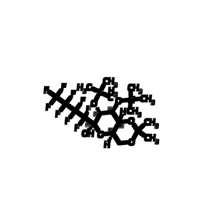 CC1(C)OC[C@H]2O[C@@](O)(C(F)(F)C(F)(F)C(F)(F)C(F)(F)F)[C@H](O[Si](C)(C)C)[C@@H](O[Si](C)(C)C)[C@@H]2O1